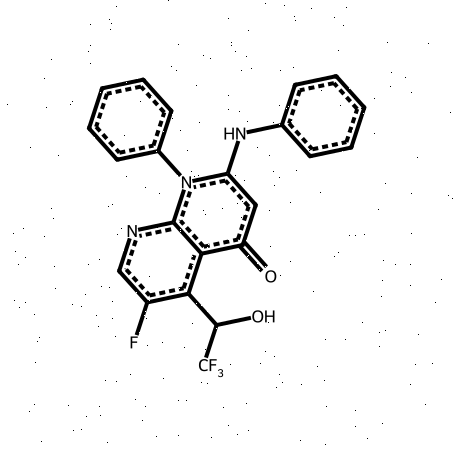 O=c1cc(Nc2ccccc2)n(-c2ccccc2)c2ncc(F)c(C(O)C(F)(F)F)c12